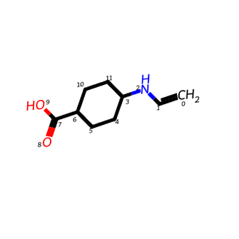 C=CNC1CCC(C(=O)O)CC1